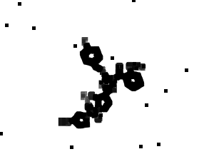 COc1ccccc1C(=O)n1nc(C2CCN(S(=O)(=O)N3CCC(O)C3)C2C(F)(F)F)nc1SCc1ccc(F)cc1